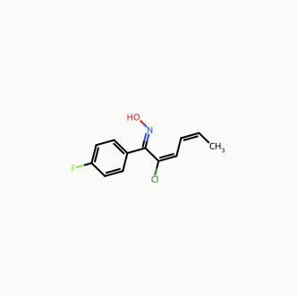 C\C=C/C=C(Cl)\C(=N\O)c1ccc(F)cc1